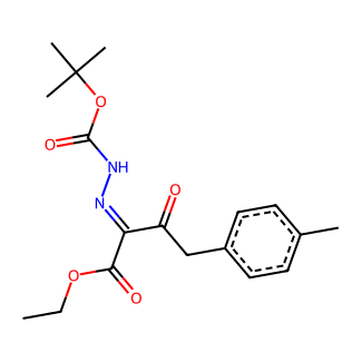 CCOC(=O)/C(=N/NC(=O)OC(C)(C)C)C(=O)Cc1ccc(C)cc1